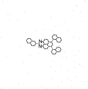 c1ccc2cc(-c3nc4ccc5c(-c6cccc7ccccc67)cc(-c6cccc7ccccc67)c6ccc(n3)c4c56)ccc2c1